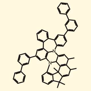 CC1C=C2C3C4=C1C(C)C=C1C(C)(C)c5cccc(c5C14C)N3c1cc(-c3cccc(-c4ccccc4)c3)cc3c1N2c1ccc(-c2cccc(-c4ccccc4)c2)cc1-c1ccccc1-3